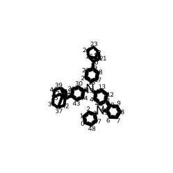 c1ccc(-n2c3ccccc3c3ccc(N(c4ccc(C5CC6CCC5C6)cc4)c4ccc(C56CC7CC(CC(C7)C5)C6)cc4)cc32)cc1